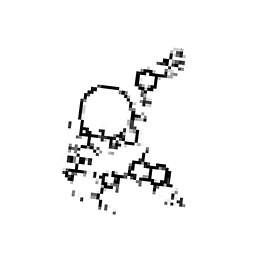 COc1ccc2c(O[C@@H]3C[C@H]4C(=O)N[C@]5(C(=O)NS(=O)(=O)C6(C)CC6)C[C@H]5/C=C\CCCCC[C@H](Nc5cccc(NS(C)(=O)=O)c5)C(=O)N4C3)cc(-c3nc(C(C)C)cs3)nc2c1C